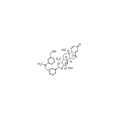 CN(Cc1cccc([C@@H]2O[C@@H]3C[C@H]4[C@@H]5CCC6=CC(=O)C=C[C@]6(C)[C@H]5[C@@H](O)C[C@]4(C)[C@]3(C(=O)CO)O2)c1)c1cccc(CO)c1